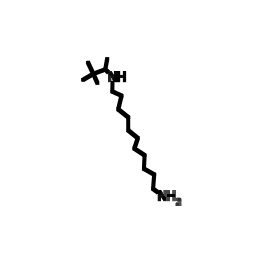 CC(NCCCCCCCCCCCN)C(C)(C)C